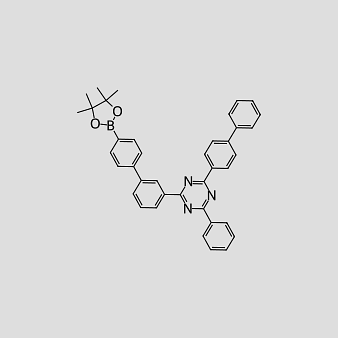 CC1(C)OB(c2ccc(-c3cccc(-c4nc(-c5ccccc5)nc(-c5ccc(-c6ccccc6)cc5)n4)c3)cc2)OC1(C)C